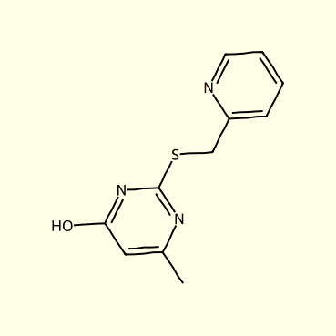 Cc1cc(O)nc(SCc2ccccn2)n1